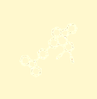 N#Cc1ccc(-n2c3ccccc3c3ccccc32)c(-c2cccc(-c3ccc(-n4c5ccccc5c5ccccc54)cc3)c2)c1C#N